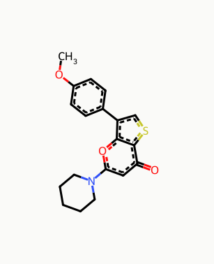 COc1ccc(-c2csc3c(=O)cc(N4CCCCC4)oc23)cc1